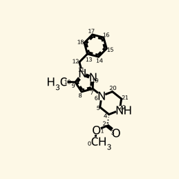 COC(=O)[C@@H]1CN(c2cc(C)n(Cc3ccccc3)n2)CCN1